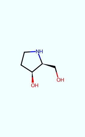 OC[C@@H]1NCC[C@@H]1O